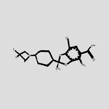 Cc1c(C(=O)O)cc(Cl)c2c1O[C@](C)(C1CCC(N3CC(F)(F)C3)CC1)O2